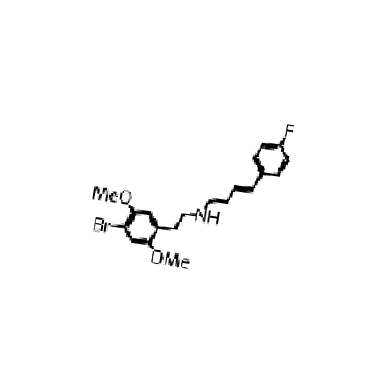 COc1cc(CCNCC/C=C/c2ccc(F)cc2)c(OC)cc1Br